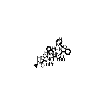 CCC[C@@H](NC(=O)[C@@H]1[C@H]2CCC[C@H]2CN1C(=O)[C@H](NC(=O)[C@@H](NC(=O)c1cnccn1)C1CCCCC1)C(C)(C)C)C(=O)C(=O)NC1CC1